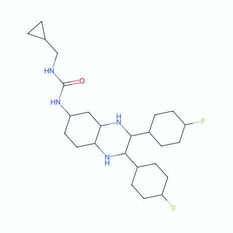 O=C(NCC1CC1)NC1CCC2NC(C3CCC(F)CC3)C(C3CCC(F)CC3)NC2C1